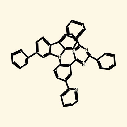 c1ccc(-c2ccc3c4ccccc4n(-c4ccc(-c5ccccn5)cc4-c4nc(-c5ccccc5)nc(-c5ccccc5)n4)c3c2)cc1